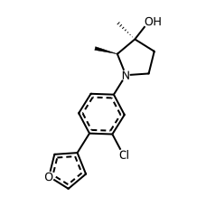 C[C@@H]1N(c2ccc(-c3ccoc3)c(Cl)c2)CC[C@]1(C)O